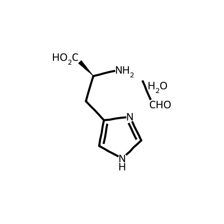 CC=O.N[C@@H](Cc1c[nH]cn1)C(=O)O.O